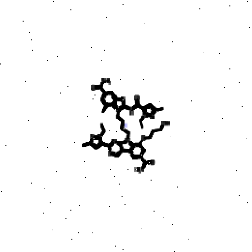 CCn1nc(C)cc1C(=O)Nc1nc2cc(C(N)=O)cc(C)c2n1C/C=C/Cn1c2nc(-c3cc(C)nn3CC)ncc2c2cc(C(N)=O)cc(OCCCO)c21